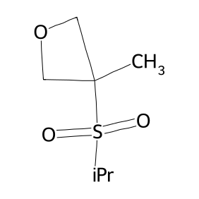 CC(C)S(=O)(=O)C1(C)COC1